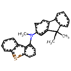 CN(c1ccc2c(c1)C(C)(C)c1ccccc1-2)c1cccc2sc3ccccc3c12